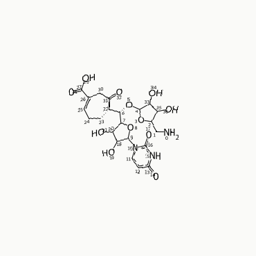 NCC1OC(O[C@H](C2OC(n3ccc(=O)[nH]c3=O)C(O)C2O)[C@@H]2CCC=C(C(=O)O)CC2=O)C(O)C1O